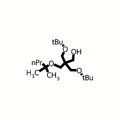 CCCC(C)(C)OCC(CO)(COC(C)(C)C)COC(C)(C)C